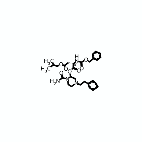 CC(C)COC(=O)C[C@H](NC(=O)OCc1ccccc1)C(=O)OC1CN(CCc2ccccc2)CCN1C(N)=O